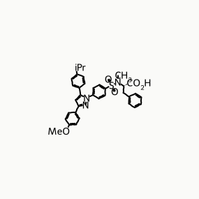 COc1ccc(-c2cc(-c3ccc(C(C)C)cc3)n(-c3ccc(S(=O)(=O)N(C)[C@@H](Cc4ccccc4)C(=O)O)cc3)n2)cc1